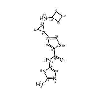 Cc1ncc(NC(=O)c2cc(C3CC3NC3CCC3)cs2)s1